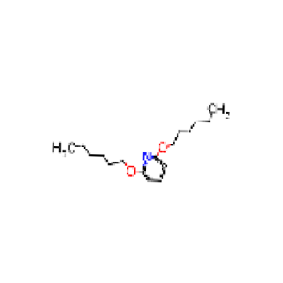 CCCCCCOc1cccc(OCCCCCC)n1